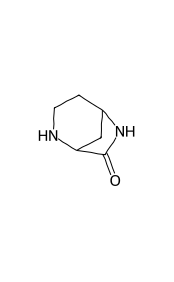 O=C1NC2CCNC1C2